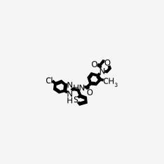 Cc1cc(C(=O)N[C@H](c2nc3cc(Cl)ccc3[nH]2)c2cccs2)ccc1N1CCOCC1=O